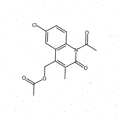 CC(=O)OCc1c(C)c(=O)n(C(C)=O)c2ccc(Cl)cc12